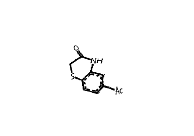 CC(=O)c1ccc2c(c1)NC(=O)CS2